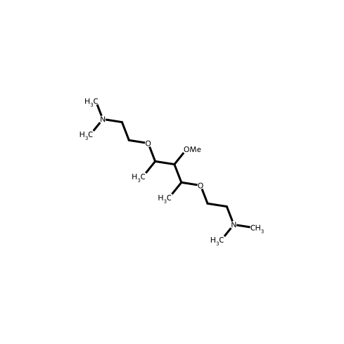 COC(C(C)OCCN(C)C)C(C)OCCN(C)C